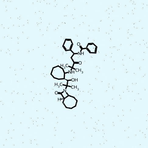 CC(C)(NC1CCCCCC[C@@H]1C(O)C(C)(C)N1C(=O)[C@H]2CCCCCCC21)C(=O)CC(NC(=O)c1ccccc1)c1ccccc1